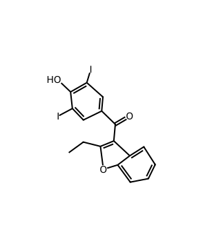 CCc1oc2ccccc2c1C(=O)c1cc(I)c(O)c(I)c1